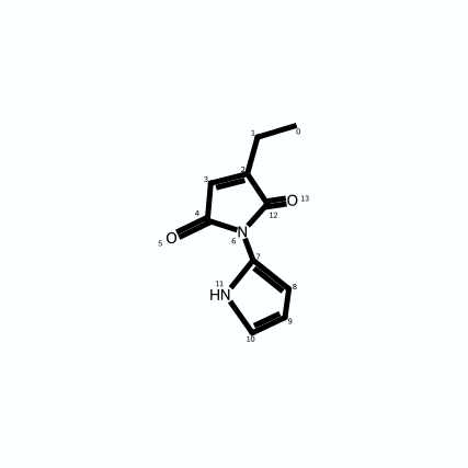 CCC1=CC(=O)N(c2ccc[nH]2)C1=O